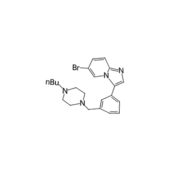 CCCCN1CCN(Cc2cccc(-c3cnc4ccc(Br)cn34)c2)CC1